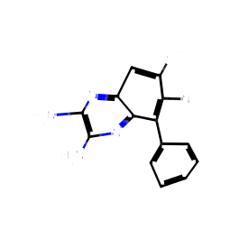 Nc1nc2cc(C(F)(F)F)c([N+](=O)[O-])c(-c3ccccc3)c2nc1N